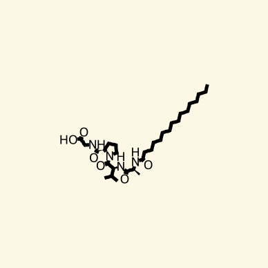 CCCCCCCCCCCCCCCC(=O)N[C@@H](C)C(=O)N[C@H](C(=O)N1CCC[C@H]1C(=O)NCC(=O)O)C(C)C